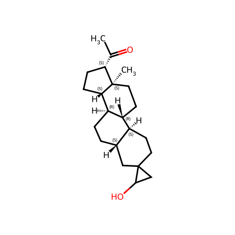 CC(=O)[C@H]1CC[C@H]2[C@@H]3CC[C@H]4CC5(CC[C@@H]4[C@H]3CC[C@]12C)CC5O